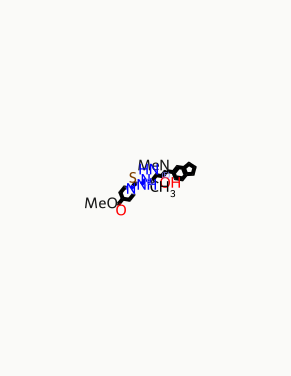 CN/C(=C(/O)C(=N)/C(C)=N/NC(=S)N1CCC(C(=O)OC)CC1)c1ccc2c(c1)CCC2